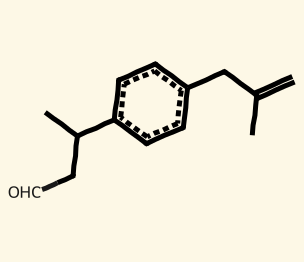 C=C(C)Cc1ccc(C(C)CC=O)cc1